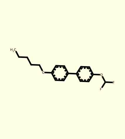 CCCCCOc1ccc(-c2ccc(OC(F)F)cc2)cc1